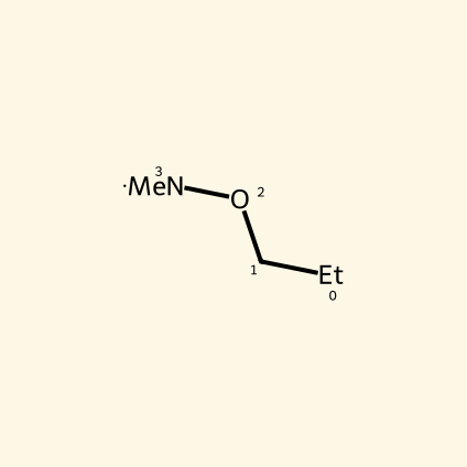 CCCO[N]C